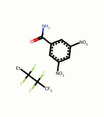 CCC(F)(F)C(F)(F)C(F)(F)F.NC(=O)c1cc([N+](=O)[O-])cc([N+](=O)[O-])c1